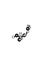 O=C(NC(c1cccc(Cl)c1)c1ccccn1)C1CCN(CCOc2ccc3ncsc3c2)CC1